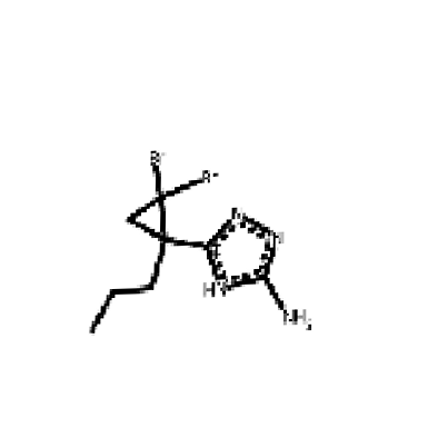 CCCC1(c2nnc(N)[nH]2)CC1(Br)Br